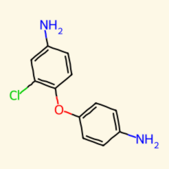 Nc1ccc(Oc2ccc(N)cc2Cl)cc1